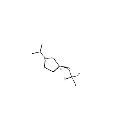 CC(C)N1CC[C@H](OC(F)(F)F)C1